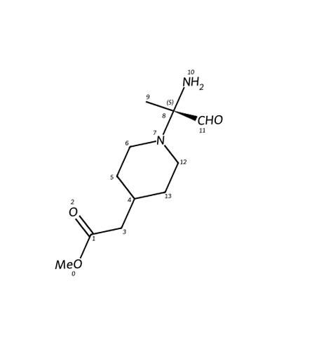 COC(=O)CC1CCN([C@](C)(N)C=O)CC1